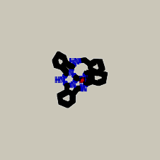 c1ccc2c(c1)CNc1c3ccccc3c3n1C14NC2=Nc2c5ccccc5c(n21)N=C1c2ccccc2C(N3)N14